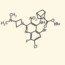 CN(C)C1CN(c2nc3c(F)c(Cl)cc(Br)c3c(NC3C4CC3N(C(=O)OC(C)(C)C)C4)c2[N+](=O)[O-])C1